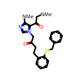 CNCC(=O)c1c(NC)ncn1CC(=O)CCc1ccccc1SCc1ccccc1